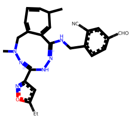 CCc1cc(/C2=N/N(C)CC3=CC=CC(C)C=C3/C(NCc3ccc(C=O)cc3C#N)=N\N2)no1